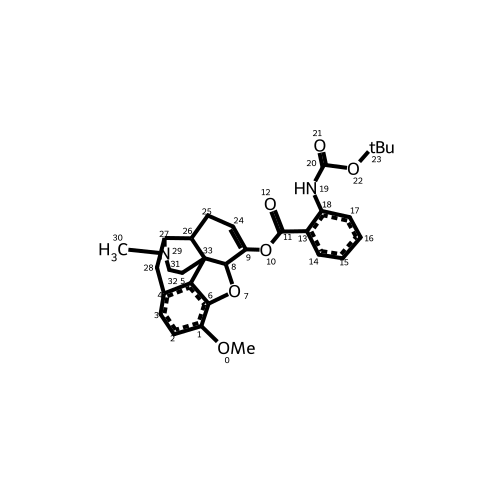 COc1ccc2c3c1OC1C(OC(=O)c4ccccc4NC(=O)OC(C)(C)C)=CCC4C(C2)N(C)CCC314